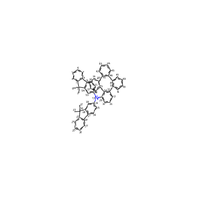 CC1(C)c2ccccc2-c2ccc(N(c3ccc4c(c3)C(C)(C)c3ccccc3-4)c3cccc4c3-c3ccccc3-c3ccccc3-c3ccccc3-4)cc21